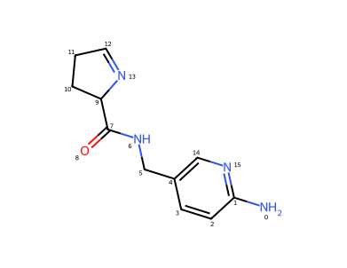 Nc1ccc(CNC(=O)C2CCC=N2)cn1